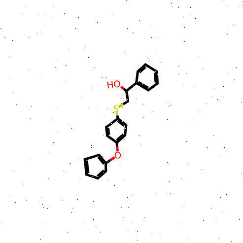 OC(CSc1ccc(Oc2ccccc2)cc1)c1ccccc1